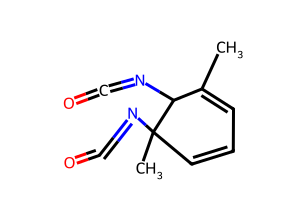 CC1=CC=CC(C)(N=C=O)C1N=C=O